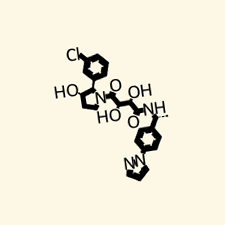 C[C@@H](NC(=O)[C@H](O)[C@@H](O)C(=O)N1CC[C@H](O)[C@H]1c1cccc(Cl)c1)c1ccc(-n2cccn2)cc1